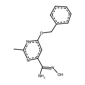 Cc1nc(OCc2ccccc2)cc(C(N)=NO)n1